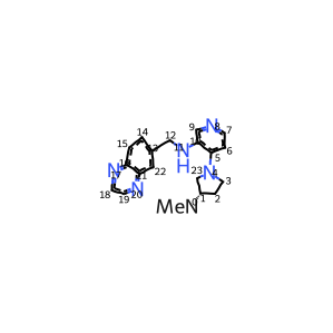 CN[C@H]1CCN(c2ccncc2NCc2ccc3nccnc3c2)C1